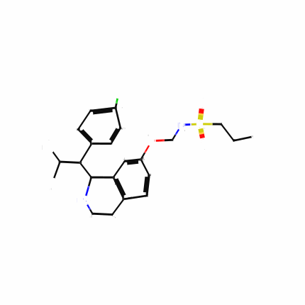 CCCS(=O)(=O)NCOc1ccc2c(c1)C(C(c1ccc(Cl)cc1)C(C)C)NCC2